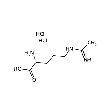 CC(=N)NCCC[C@@H](N)C(=O)O.Cl.Cl